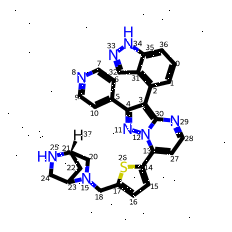 c1cc(-c2c(-c3ccncc3)nn3c(-c4ccc(CN5C[C@@H]6CC5CN6)s4)ccnc23)c2cn[nH]c2c1